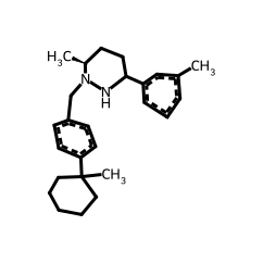 Cc1cccc(C2CC[C@H](C)N(Cc3ccc(C4(C)CCCCC4)cc3)N2)c1